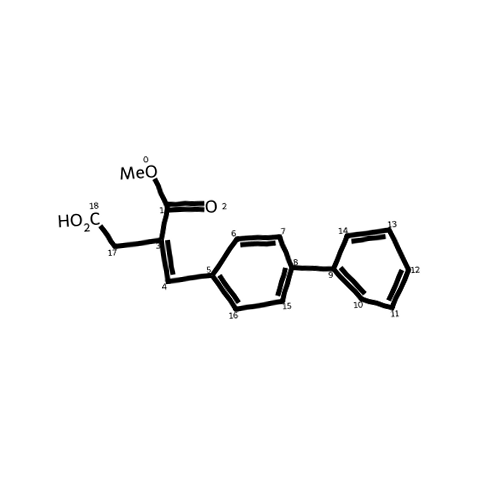 COC(=O)C(=Cc1ccc(-c2ccccc2)cc1)CC(=O)O